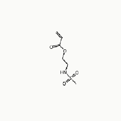 C=CC(=O)OCCNS(C)(=O)=O